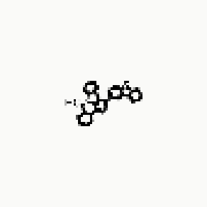 OC1c2ccccc2-c2ccc(-c3ccc4sc5ccccc5c4c3)c3c4ccccc4n1c23